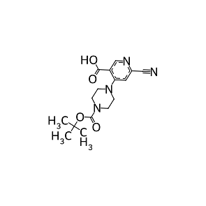 CC(C)(C)OC(=O)N1CCN(c2cc(C#N)ncc2C(=O)O)CC1